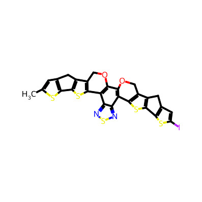 Cc1cc2c(s1)-c1sc3c(c1C2)COc1c2c(c4nsnc4c1-3)-c1sc3c(c1CO2)Cc1cc(I)sc1-3